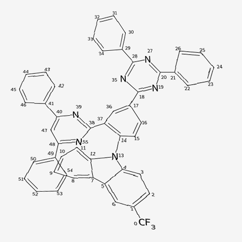 FC(F)(F)c1ccc2c(c1)c1ccccc1n2-c1ccc(-c2nc(-c3ccccc3)nc(-c3ccccc3)n2)cc1-c1nc(-c2ccccc2)cc(-c2ccccc2)n1